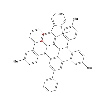 CC(C)(C)c1ccc(N2B3c4c(cc(-c5ccccc5)cc4N(c4ccc(C(C)(C)C)cc4-c4ccccc4)c4ccc5c(c43)C(C)(C)c3ccccc3-5)-c3cc(C(C)(C)C)ccc32)cc1